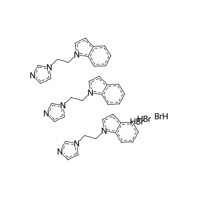 Br.Br.Br.c1ccc2c(c1)ccn2CCn1ccnc1.c1ccc2c(c1)ccn2CCn1ccnc1.c1ccc2c(c1)ccn2CCn1ccnc1